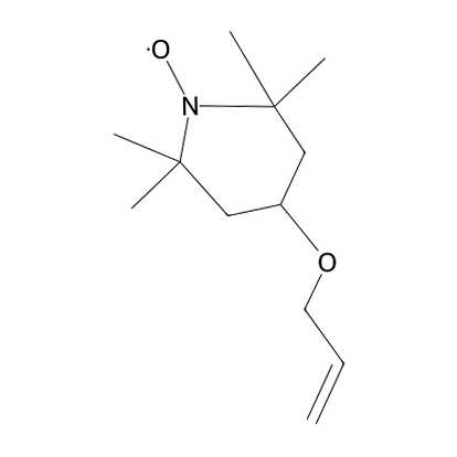 C=CCOC1CC(C)(C)N([O])C(C)(C)C1